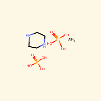 C1CNCCN1.O=P(O)(O)O.O=P(O)(O)O.[AlH3]